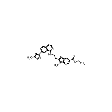 CCOC(=O)c1cnc2c(c1)nc(CCNc1nccc3ccc(-c4noc(C)n4)cc13)n2C